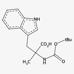 CC(C)(C)OC(=O)NC(C)(Cc1c[nH]c2ccccc12)C(=O)O